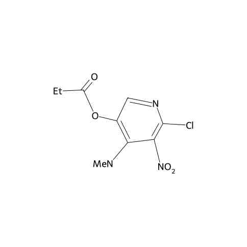 CCC(=O)Oc1cnc(Cl)c([N+](=O)[O-])c1NC